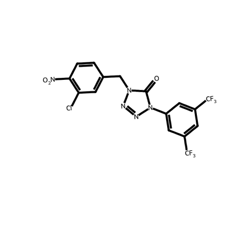 O=c1n(Cc2ccc([N+](=O)[O-])c(Cl)c2)nnn1-c1cc(C(F)(F)F)cc(C(F)(F)F)c1